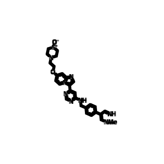 CN/C=C(\C=N)c1ccc(CNc2cc(-c3cnc4cc(OCCN5CC[S+]([O-])CC5)ccn34)ncn2)cc1